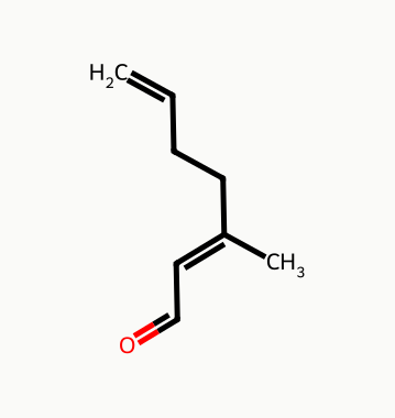 C=CCCC(C)=CC=O